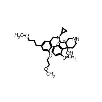 COCCCc1cc(CN(C(=O)[C@H]2CNCC[C@]2(O)c2ccccc2OC)C2CC2)cc(OCCOC)c1